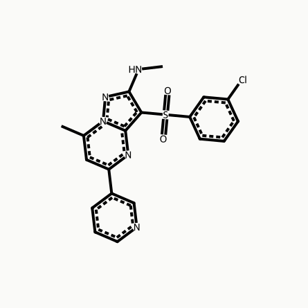 CNc1nn2c(C)cc(-c3cccnc3)nc2c1S(=O)(=O)c1cccc(Cl)c1